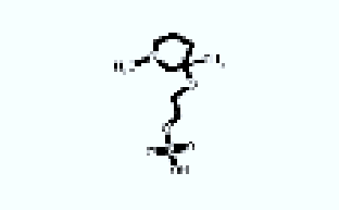 CN1CCC[C@](C)(OCCOS(=O)(=O)O)C1